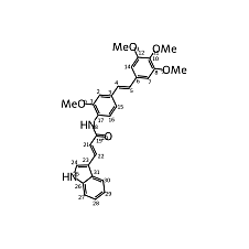 COc1cc(C=Cc2cc(OC)c(OC)c(OC)c2)ccc1NC(=O)/C=C/c1c[nH]c2ccccc12